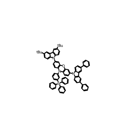 CC(C)(C)c1ccc2c(c1)c1cc(C(C)(C)C)ccc1n2-c1ccc2c(c1)Oc1cc(-n3c4ccc(-c5ccccc5)cc4c4cc(-c5ccccc5)ccc43)ccc1N2c1cccc([Si](c2ccccc2)(c2ccccc2)c2ccccc2)c1